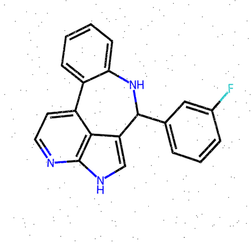 Fc1cccc(C2Nc3ccccc3-c3ccnc4[nH]cc2c34)c1